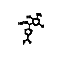 COC(=O)c1ccc(C(O)c2cc(Cl)cc(N)c2O)cc1.Cl